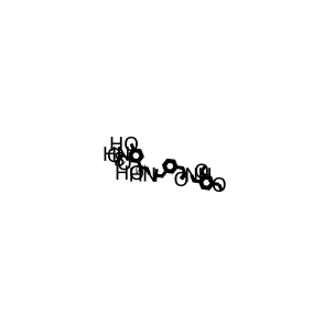 COc1ccc(CNC(=O)Cc2cccc(CC(C)(C)NC[C@H](O)c3ccc(O)c(NS(C)(=O)=O)c3)c2)c(OC)c1